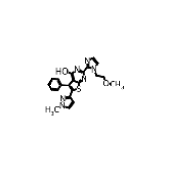 COCCn1ccnc1-c1nc(O)c2c(-c3ccccc3)c(-c3ccn(C)n3)sc2n1